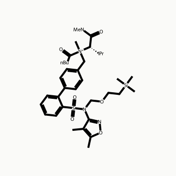 CCCCC(=O)[N+](C)(Cc1ccc(-c2ccccc2S(=O)(=O)N(COCC[Si](C)(C)C)c2noc(C)c2C)cc1)[C@H](C(=O)NC)C(C)C